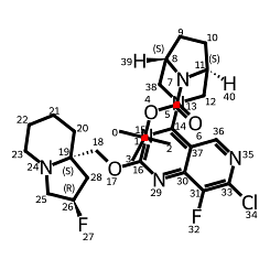 CC(C)(C)OC(=O)N1[C@H]2CC[C@H]1CN(c1nc(OC[C@@]34CCCCN3C[C@H](F)C4)nc3c(F)c(Cl)ncc13)C2